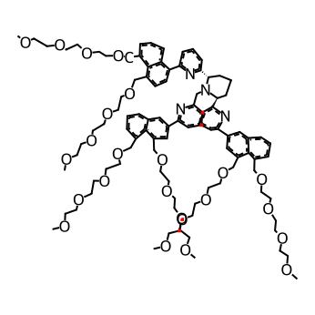 COCCOCCOCCOCc1cccc2cc(-c3cccc(CN4[C@H](c5cccc(-c6cc(COCCOCCOCCOC)c7c(COCCOCCOCCOC)cccc7c6)n5)CCC[C@H]4c4cccc(-c5ccc(COCCOCCOCCOC)c6c(COCCOCCOCCOC)cccc56)n4)n3)cc(COCCOCCOCCOC)c12